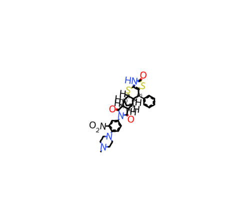 CN1CCN(c2ccc(N3C(=O)[C@@H]4[C@H]5C[C@H]([C@@H]6Sc7[nH]c(=O)sc7[C@@H](c7ccccc7)[C@H]56)[C@@H]4C3=O)cc2[N+](=O)[O-])CC1